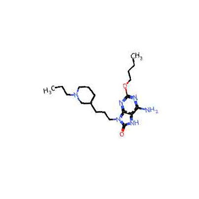 CCCCOc1nc(N)c2[nH]c(=O)n(CCCC3CCCN(CCC)C3)c2n1